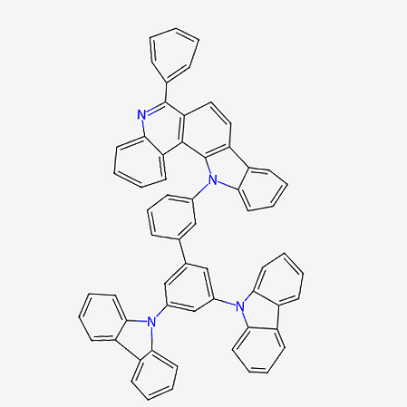 c1ccc(-c2nc3ccccc3c3c2ccc2c4ccccc4n(-c4cccc(-c5cc(-n6c7ccccc7c7ccccc76)cc(-n6c7ccccc7c7ccccc76)c5)c4)c23)cc1